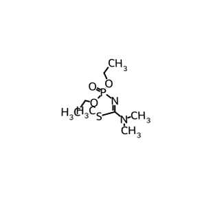 CCOP(=O)(/N=C(\SC)N(C)C)OCC